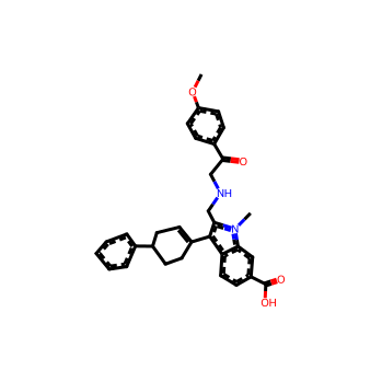 COc1ccc(C(=O)CNCc2c(C3=CCC(c4ccccc4)CC3)c3ccc(C(=O)O)cc3n2C)cc1